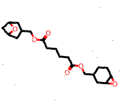 O=C(CCCCC(=O)OCC1CCC2OC2C1)OCC1CC2CC(C1)O2